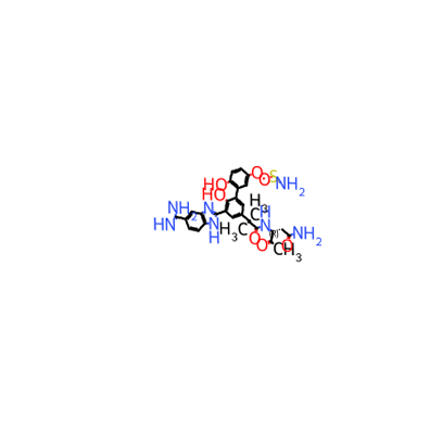 CC(=O)[C@@H](CC(N)=O)NC(=O)C(C)(C)c1cc(-c2nc3cc(C(=N)N)ccc3[nH]2)c(O)c(-c2cc(OOSN)ccc2O)c1